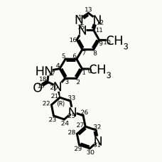 Cc1cc2c(cc1-c1cc(C)c3ncnn3c1)[nH]c(=O)n2[C@@H]1CCCN(Cc2cccnc2)C1